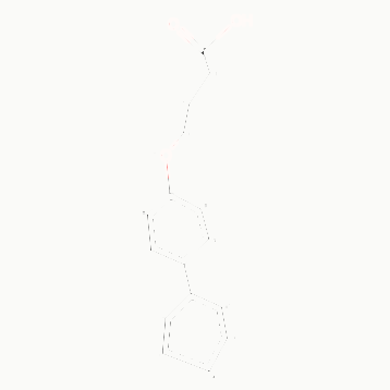 O=C(O)CCCOc1ccc(-c2ccccc2)cc1